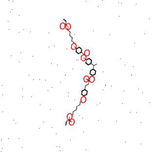 C=CC(=O)OCCCCCCOc1ccc(CCC(=O)Oc2ccc(C(C)c3ccc(OC(=O)c4ccc(OCCCCCCOC(=O)C=C)cc4)cc3)cc2)cc1